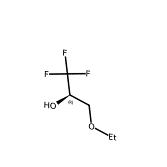 CCOC[C@@H](O)C(F)(F)F